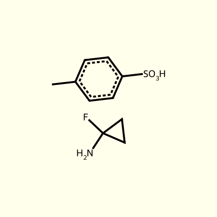 Cc1ccc(S(=O)(=O)O)cc1.NC1(F)CC1